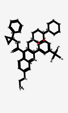 CCOc1ccc2c(C(=O)NC3(c4ccccc4)CC3)c(CN3CCC(N4CCCCC4)CC3)c(-c3cccc(C(F)(F)F)c3)nc2c1